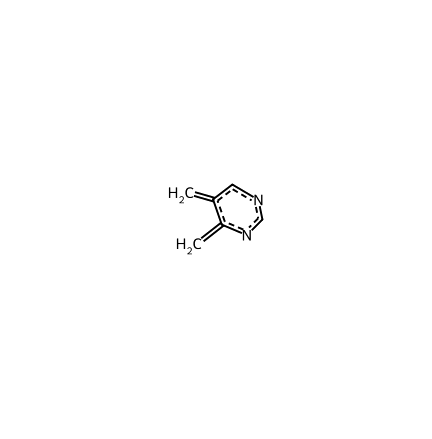 C=c1cncnc1=C